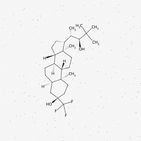 C[C@@H]([C@H]1CC[C@H]2[C@@H]3CC[C@@H]4C[C@@](O)(C(F)(F)F)CC[C@]4(C)[C@H]3CC[C@]12C)[C@H](O)C(C)(C)C